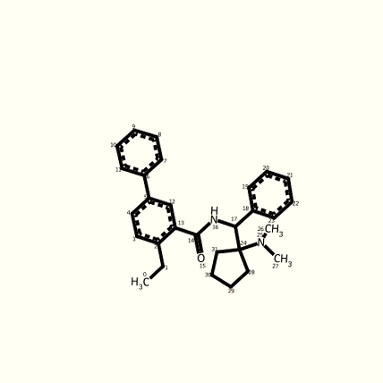 CCc1ccc(-c2ccccc2)cc1C(=O)NC(c1ccccc1)C1(N(C)C)CCCC1